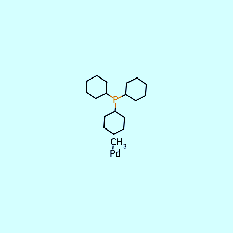 C1CCC(P(C2CCCCC2)C2CCCCC2)CC1.[CH3][Pd]